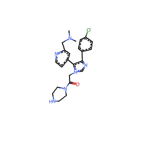 CN(C)Cc1cc(-c2c(-c3ccc(Cl)cc3)ncn2CC(=O)N2CCNCC2)ccn1